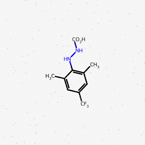 Cc1cc(C(F)(F)F)cc(C)c1NNC(=O)O